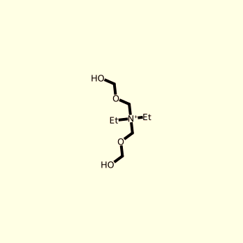 CC[N+](CC)(COCO)COCO